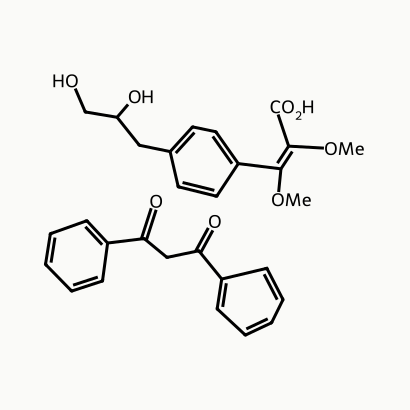 COC(C(=O)O)=C(OC)c1ccc(CC(O)CO)cc1.O=C(CC(=O)c1ccccc1)c1ccccc1